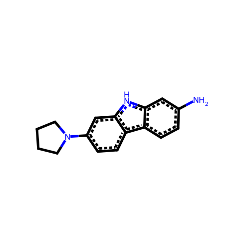 Nc1ccc2c(c1)[nH]c1cc(N3CCCC3)ccc12